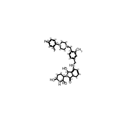 Cc1cc(CNC2=C3C(CC=C2)C(=O)N(C2CCC(O)NC2O)C3O)ccc1CN1CCN(c2ccc(F)cc2F)CC1